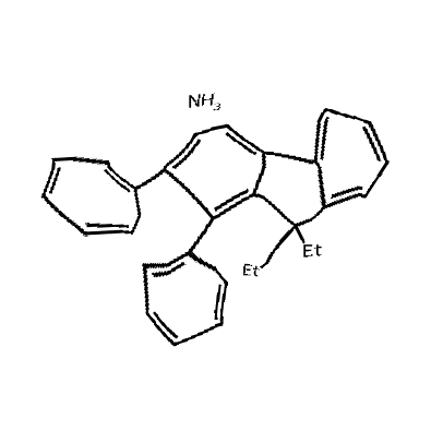 CCC1(CC)c2ccccc2-c2ccc(-c3ccccc3)c(-c3ccccc3)c21.N